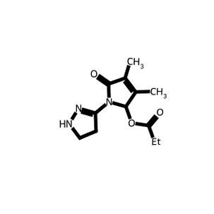 CCC(=O)OC1C(C)=C(C)C(=O)N1C1=NNCC1